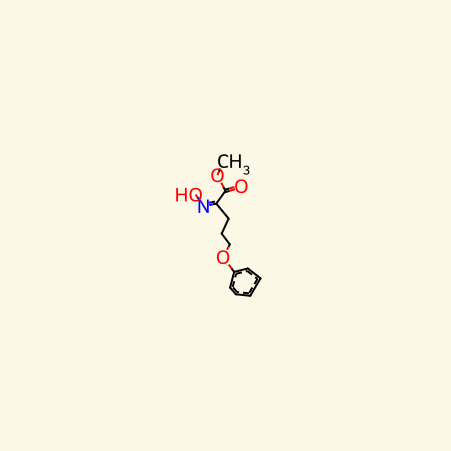 COC(=O)C(CCCOc1ccccc1)=NO